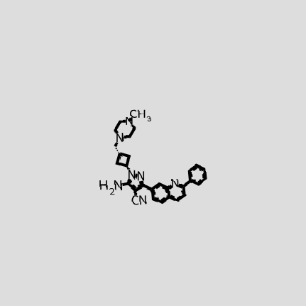 CN1CCN(C[C@H]2C[C@H](n3nc(-c4ccc5ccc(-c6ccccc6)nc5c4)c(C#N)c3N)C2)CC1